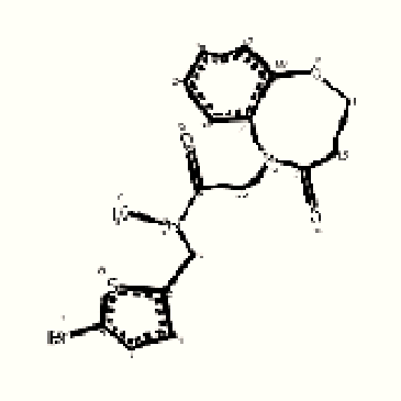 CN(Cc1ccc(Br)s1)C(=O)CN1C(=O)CCOc2ccccc21